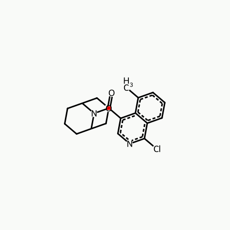 Cc1cccc2c(Cl)ncc(C(=O)N3C4CCCC3COC4)c12